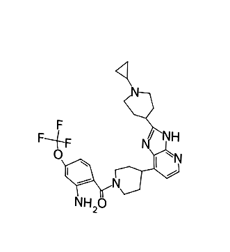 Nc1cc(OC(F)(F)F)ccc1C(=O)N1CCC(c2ccnc3[nH]c(C4CCN(C5CC5)CC4)nc23)CC1